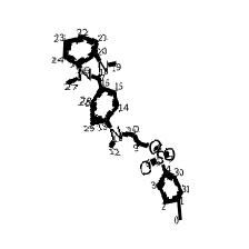 Cc1ccc(S(=O)(=O)OCCN(C)c2ccc(C3N(C)c4ccccc4N3C)cc2)cc1